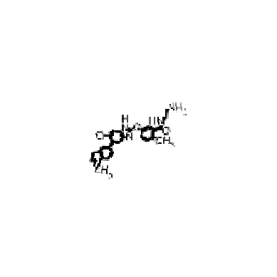 Cc1ccc(Oc2nc3cc(-c4ccc5c(ccn5C)c4)c(Cl)cc3[nH]2)cc1C(=O)NCCN